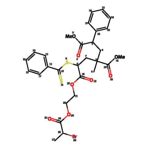 COC(=O)C(CC(C)(CC(SC(=S)c1ccccc1)C(=O)OCCOC(=O)C(C)Br)C(=O)OC)c1ccccc1